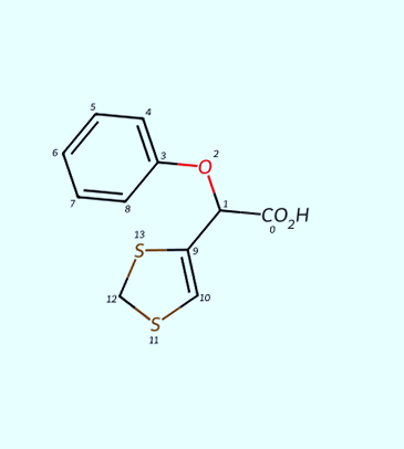 O=C(O)C(Oc1ccccc1)C1=CSCS1